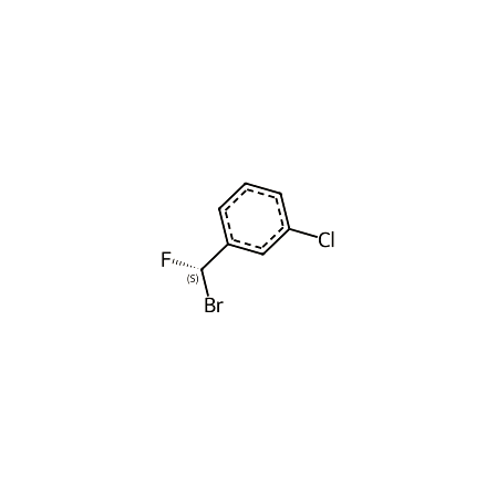 F[C@@H](Br)c1cccc(Cl)c1